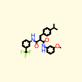 COc1cccc(NC(=O)/C(=C\c2ccc(C(C)C)cc2)C(=O)Nc2cccc(C(F)(F)F)c2)c1